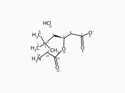 C[N+](C)(C)C[C@@H](CC(=O)[O-])OC(=O)CN.Cl